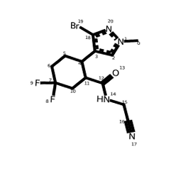 Cn1cc(C2CCC(F)(F)CC2C(=O)NCC#N)c(Br)n1